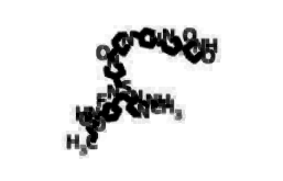 CCCS(=O)(=O)Nc1cccc(-c2nc(C3CCN(C(=O)C4CCN(CC5CCN(c6ccc([C@@H]7CCC(=O)NC7=O)cn6)CC5)CC4)CC3)sc2-c2ccnc(NC)n2)c1F